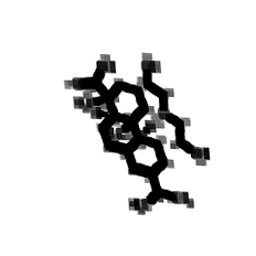 CC(C)C1=CC2=CC[C@@H]3[C@](C)(CCC[C@@]3(C)C(=O)O)[C@H]2CC1.OCCOCCO